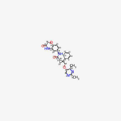 Cc1ncc(OC[C@@]2(C3C=CC=CC3)C[C@H]2C(=O)Nc2ccc3c(c2)NC(=O)CO3)c(C)n1